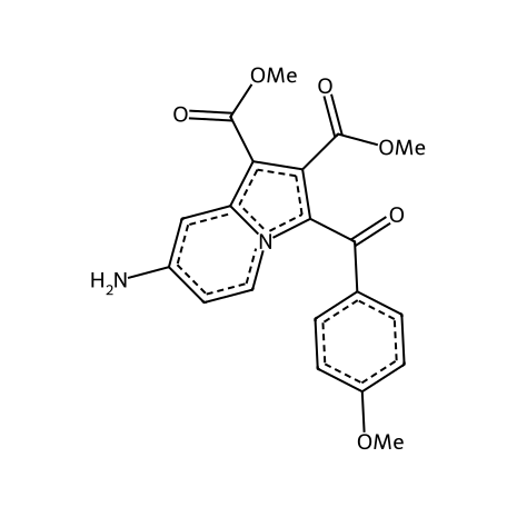 COC(=O)c1c(C(=O)OC)c2cc(N)ccn2c1C(=O)c1ccc(OC)cc1